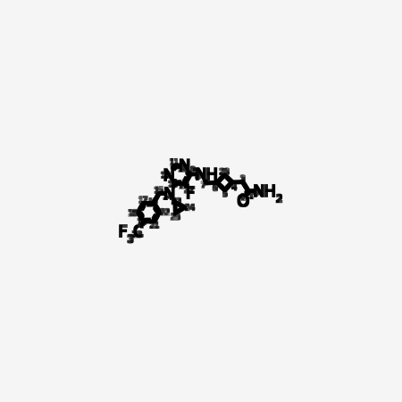 NC(=O)CC1CC(CNc2ncnc(N(Cc3ccc(C(F)(F)F)cc3)C3CC3)c2F)C1